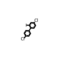 Clc1ccc(-c2ccc(Cl)cc2I)cc1